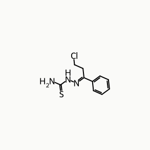 NC(=S)NN=C(CCCl)c1ccccc1